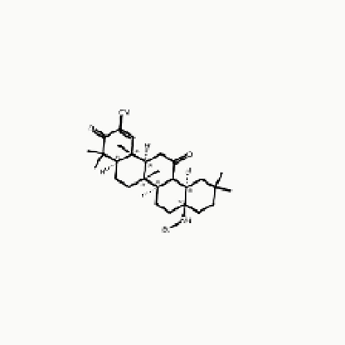 CCN[C@]12CCC(C)(C)C[C@@H]1C1C(=O)C[C@@H]3[C@@]4(C)C=C(C#N)C(=O)C(C)(C)[C@@H]4CC[C@@]3(C)[C@]1(C)CC2